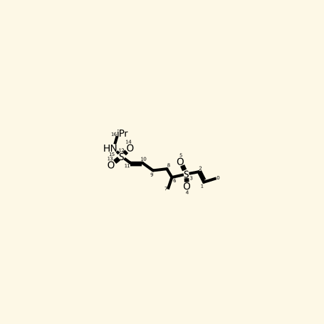 C/C=C/S(=O)(=O)C(C)CC/C=C/S(=O)(=O)NC(C)C